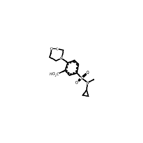 CN(C1CC1)S(=O)(=O)c1ccc(N2CCOCC2)c(C(=O)O)c1